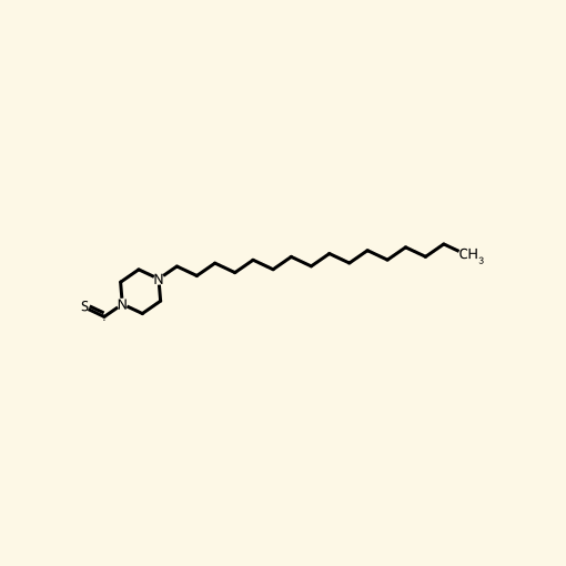 CCCCCCCCCCCCCCCCN1CCN([C]=S)CC1